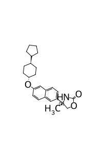 C[C@]1(c2ccc3cc(O[C@H]4CC[C@H](C5CCCC5)CC4)ccc3c2)COC(=O)N1